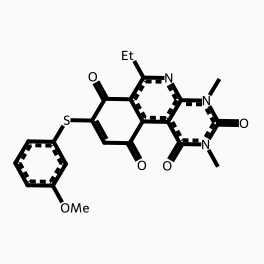 CCc1nc2c(c3c1C(=O)C(Sc1cccc(OC)c1)=CC3=O)c(=O)n(C)c(=O)n2C